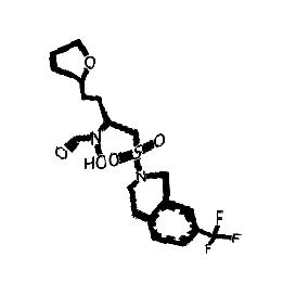 O=CN(O)C(CCC1CCCO1)CS(=O)(=O)N1CCc2ccc(C(F)(F)F)cc2C1